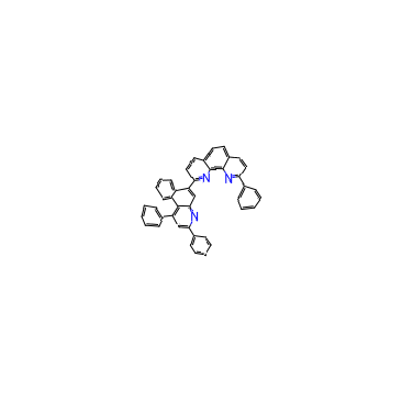 c1ccc(-c2cc(-c3ccccc3)c3c(cc(-c4ccc5ccc6ccc(-c7ccccc7)nc6c5n4)c4ccccc43)n2)cc1